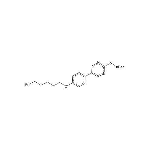 CCCCCCCCCCSc1ncc(-c2ccc(OCCCCCC(C)CC)cc2)cn1